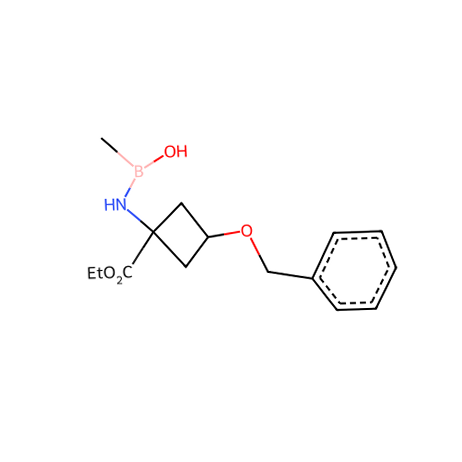 CCOC(=O)C1(NB(C)O)CC(OCc2ccccc2)C1